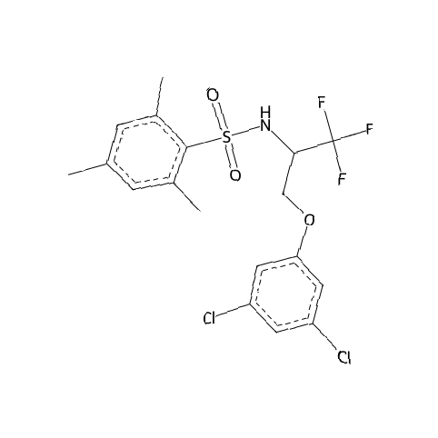 Cc1cc(C)c(S(=O)(=O)NC(COc2cc(Cl)cc(Cl)c2)C(F)(F)F)c(C)c1